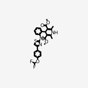 COC(=O)C1=C(C)NC(C)=C(C(=O)OC)C1c1ccccc1Nc1nc(-c2ccc(OC(F)F)cc2)cs1